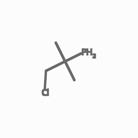 CC(C)(P)CCl